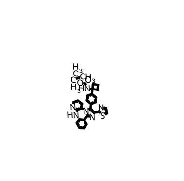 CC(C)(C)OC(=O)NC1(c2ccc(-c3c(-c4nccs4)nc4n3-c3cccnc3Nc3ccccc3-4)cc2)CCC1